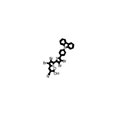 N#C/C(=C/c1sc(-c2sc(C3=CCC(n4c5ccccc5c5ccccc54)C=C3)c(Br)c2Br)c(Br)c1Br)C(=O)O